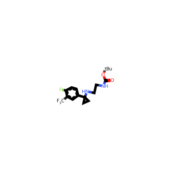 CC(C)(C)OC(=O)NCCNC1(c2ccc(F)c(C(F)(F)F)c2)CC1